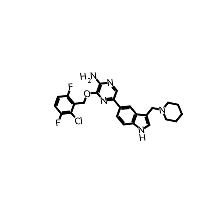 Nc1ncc(-c2ccc3[nH]cc(CN4CCCCC4)c3c2)nc1OCc1c(F)ccc(F)c1Cl